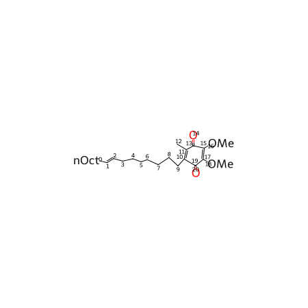 CCCCCCCCC=CCCCCCCCC1=C(C)C(=O)C(OC)=C(OC)C1=O